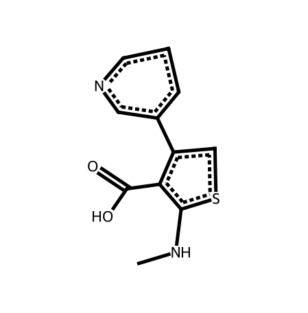 CNc1scc(-c2cccnc2)c1C(=O)O